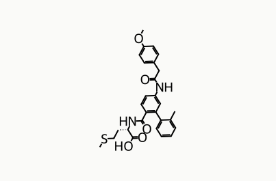 COc1ccc(CC(=O)Nc2ccc(C(=O)N[C@@H](CCSC)C(=O)O)c(-c3ccccc3C)c2)cc1